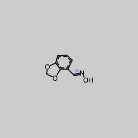 O/N=C/c1cccc2c1OCO2